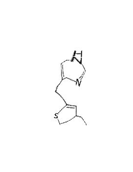 CC1C=C(Cc2c[nH]cn2)SC1